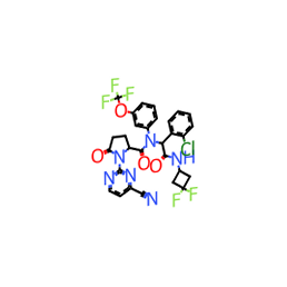 N#Cc1ccnc(N2C(=O)CCC2C(=O)N(c2cccc(OC(F)(F)F)c2)C(C(=O)NC2CC(F)(F)C2)c2ccccc2Cl)n1